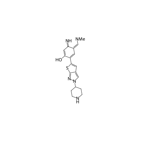 CN/C=C1/C=C(c2cc3cn(C4CCNCC4)nc3s2)C(O)=CC1=N